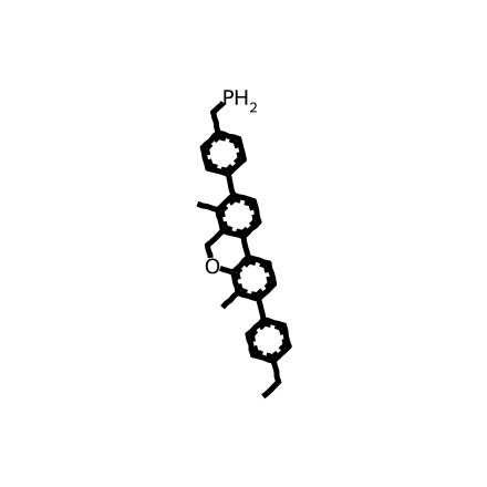 CCc1ccc(-c2ccc3c(c2C)OCc2c-3ccc(-c3ccc(CP)cc3)c2C)cc1